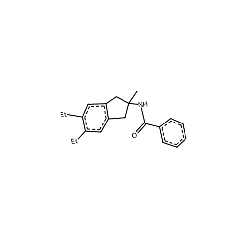 CCc1cc2c(cc1CC)CC(C)(NC(=O)c1ccccc1)C2